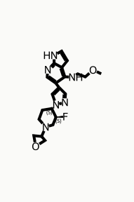 COCCNc1c(-c2cnn([C@H]3CCN(C4COC4)C[C@@H]3F)c2)cnc2[nH]ccc12